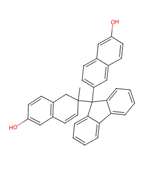 CC1(C2(c3ccc4cc(O)ccc4c3)c3ccccc3-c3ccccc32)C=Cc2cc(O)ccc2C1